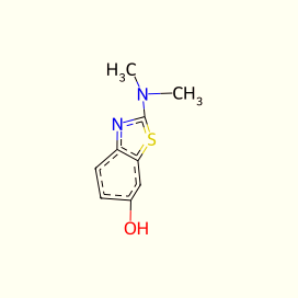 CN(C)c1nc2ccc(O)cc2s1